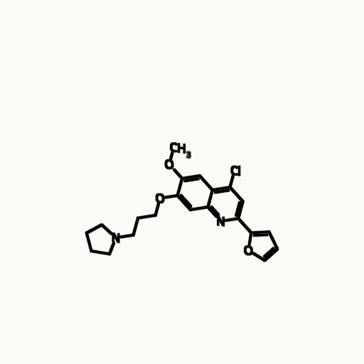 COc1cc2c(Cl)cc(-c3ccco3)nc2cc1OCCCN1CCCC1